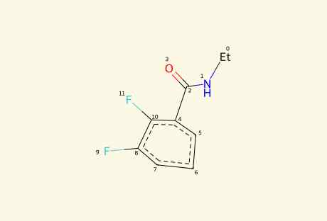 CCNC(=O)c1cccc(F)c1F